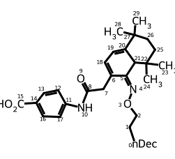 CCCCCCCCCCCCON=C1C(CC(=O)Nc2ccc(C(=O)O)cc2)=CC=C2C1C(C)(C)CCC2(C)C